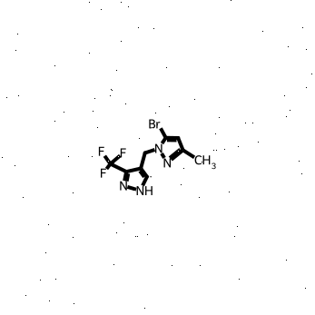 Cc1cc(Br)n(Cc2[c][nH]nc2C(F)(F)F)n1